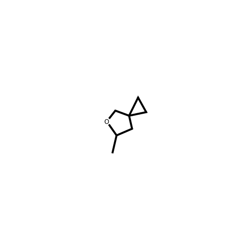 CC1CC2(CC2)CO1